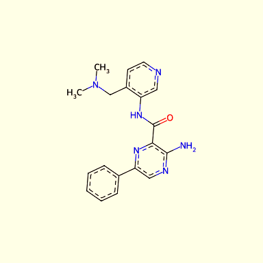 CN(C)Cc1ccncc1NC(=O)c1nc(-c2ccccc2)cnc1N